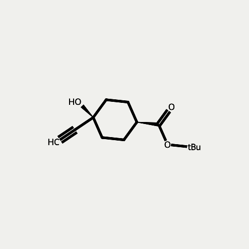 C#C[C@]1(O)CC[C@@H](C(=O)OC(C)(C)C)CC1